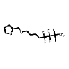 FC(F)(F)C(F)(F)C(F)(F)C(F)(F)CCCCOCC1CCCO1